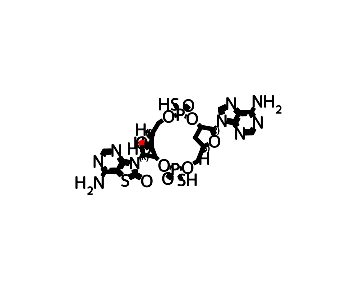 Nc1ncnc2c1ncn2[C@@H]1O[C@@H]2COP(=O)(S)OC3[C@H](n4c(=O)sc5c(N)ncnc54)O[C@H](COP(=O)(S)OC1C2)[C@H]3O